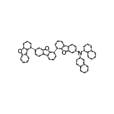 c1ccc2cc(N(c3ccc4c(c3)oc3c(-c5cccc6c5oc5cc(-c7cccc8oc9ccccc9c78)ccc56)cccc34)c3cccc4ccccc34)ccc2c1